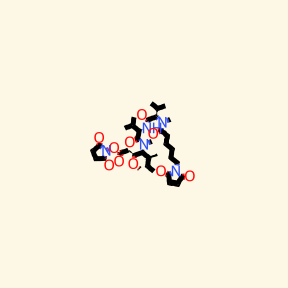 CC[C@H](C)[C@@H]([C@@H](CC(=O)ON1C(=O)CCC1=O)OC)N(C)C(=O)[C@@H](NC(=O)[C@H](C(C)C)N(C)C(=O)CCCCCN1C(=O)C=CC1=O)C(C)C